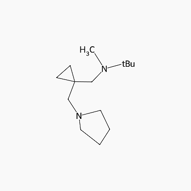 CN(CC1(CN2CCCC2)CC1)C(C)(C)C